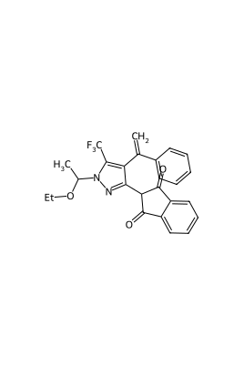 C=C(c1ccccc1)c1c(C2C(=O)c3ccccc3C2=O)nn(C(C)OCC)c1C(F)(F)F